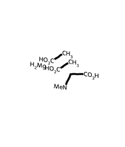 CC(=O)O.CC(=O)O.CNCC(=O)O.[MgH2]